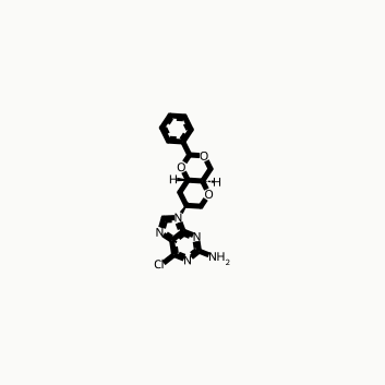 Nc1nc(Cl)c2ncn([C@@H]3CO[C@@H]4COC(c5ccccc5)O[C@H]4C3)c2n1